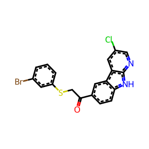 O=C(CSc1cccc(Br)c1)c1ccc2[nH]c3ncc(Cl)cc3c2c1